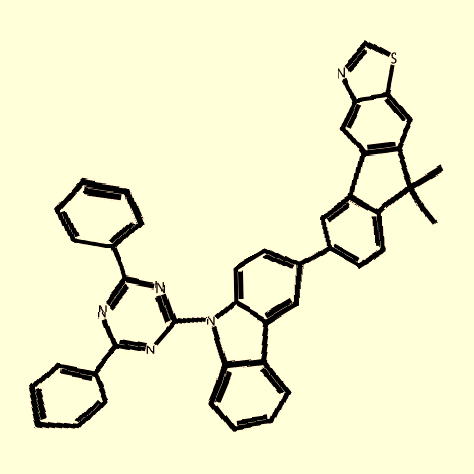 CC1(C)c2ccc(-c3ccc4c(c3)c3ccccc3n4-c3nc(-c4ccccc4)nc(-c4ccccc4)n3)cc2-c2cc3ncsc3cc21